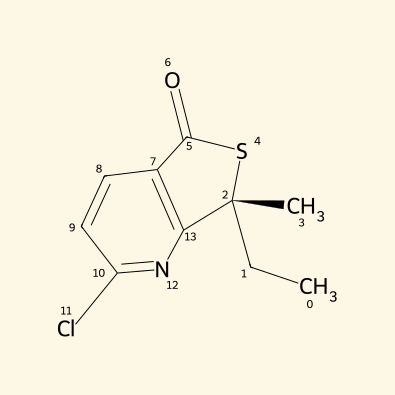 CC[C@@]1(C)SC(=O)c2ccc(Cl)nc21